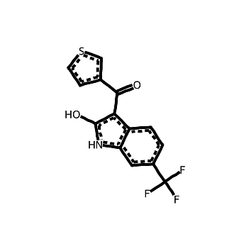 O=C(c1ccsc1)c1c(O)[nH]c2cc(C(F)(F)F)ccc12